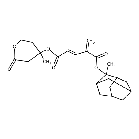 C=C(C=CC(=O)OC1(C)CCOC(=O)C1)C(=O)OC1(C)C2CC3CC(C2)CC1C3